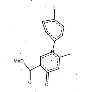 COC(=O)c1cn(-c2ccc(F)cc2)c(C)cc1=O